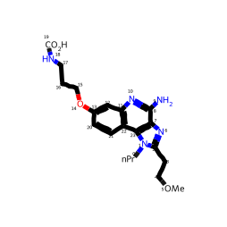 CCCn1c(CCOC)nc2c(N)nc3cc(OCCCNC(=O)O)ccc3c21